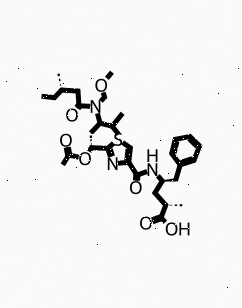 CC[C@H](C)CC(=O)N(COC)C(C[C@@H](OC(C)=O)c1nc(C(=O)N[C@@H](Cc2ccccc2)C[C@H](C)C(=O)O)cs1)C(C)C